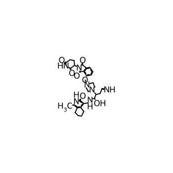 Cc1[nH]c(=O)c(CNC(O)C(CC=N)N2CCN(Oc3cccc4c3C(=O)N(C3CCC(=O)NC3=O)C4=O)CC2)c2c1CCCC2